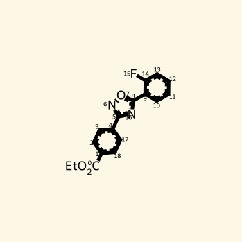 CCOC(=O)c1ccc(-c2noc(-c3ccccc3F)n2)cc1